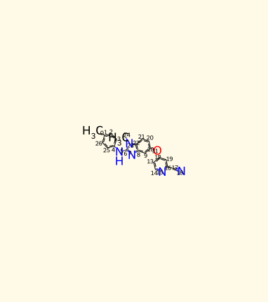 Cc1ccc(Nc2nc3cc(Oc4ccnc(C#N)c4)ccc3n2C)cc1